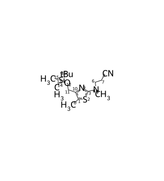 Cc1sc(N(C)CCC#N)nc1CO[Si](C)(C)C(C)(C)C